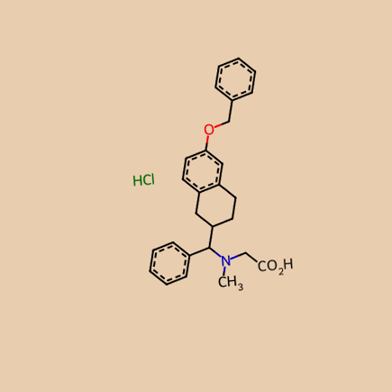 CN(CC(=O)O)C(c1ccccc1)C1CCc2cc(OCc3ccccc3)ccc2C1.Cl